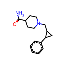 NC(=O)C1CCN(CC2CC2c2ccccc2)CC1